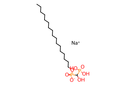 CCCCCCCCCCCCCCCCCOP(=O)([O-])C(O)P(=O)(O)O.[Na+]